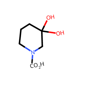 O=C(O)N1CCCC(O)(O)C1